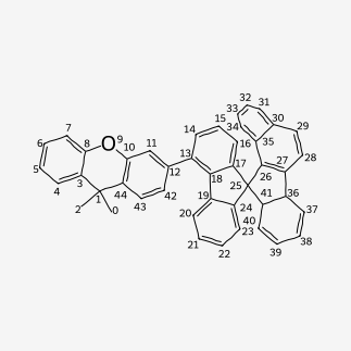 CC1(C)c2ccccc2Oc2cc(-c3cccc4c3-c3ccccc3C43c4c(ccc5ccccc45)C4C=CC=CC43)ccc21